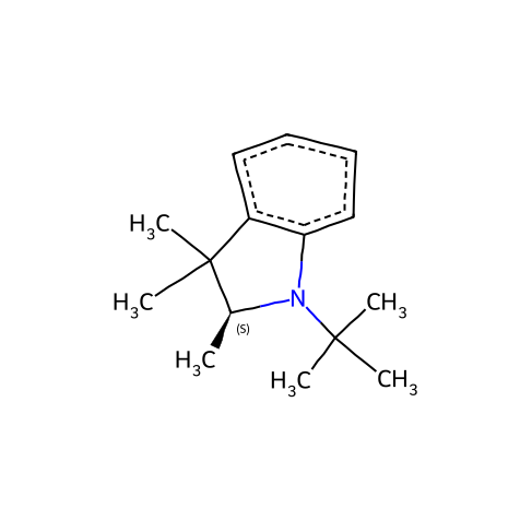 C[C@@H]1N(C(C)(C)C)c2ccccc2C1(C)C